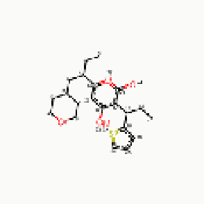 CCC(CC1CCOCC1)c1cc(O)c(C(CC)c2cccs2)c(=O)o1